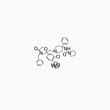 Cl.O.O=C1COC(CCN2CCC(NC(=O)N3CCCC3)(c3ccccc3)CC2)(c2ccc(Cl)c(Cl)c2)CN1Cc1ccccc1